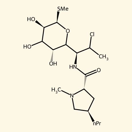 CCC[C@@H]1C[C@@H](C(=O)N[C@H](C(C)Cl)C2O[C@H](SC)[C@H](O)C(O)[C@H]2O)N(C)C1